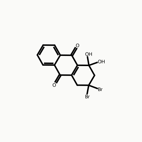 O=C1C2=C(C(=O)c3ccccc31)C(O)(O)CC(Br)(Br)C2